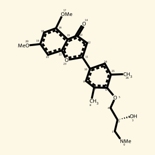 CNC[C@@H](O)COc1c(C)cc(-c2cc(=O)c3c(OC)cc(OC)cc3o2)cc1C